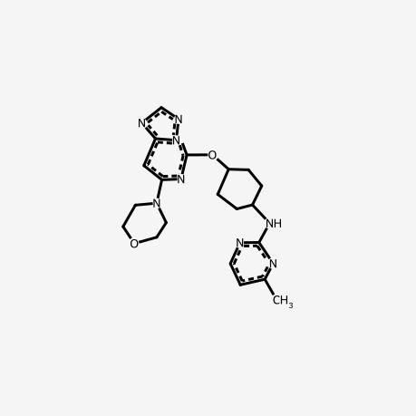 Cc1ccnc(NC2CCC(Oc3nc(N4CCOCC4)cc4ncnn34)CC2)n1